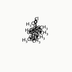 CC(=O)OC[C@H]1O[C@@H](O[C@H]2[C@H](OC(C)=O)[C@@H](OC(C)=O)[C@H](OC(=O)COc3ccc(Cl)cc3C)O[C@@H]2COC(C)=O)[C@H](OC(C)=O)[C@@H](OC(C)=O)[C@H]1OC(C)=O